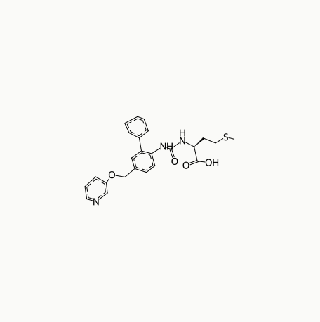 CSCC[C@H](NC(=O)Nc1ccc(COc2cccnc2)cc1-c1ccccc1)C(=O)O